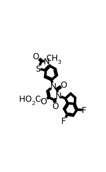 Cn1c(=O)sc2cc(-n3cc(OC(=O)O)c(=O)n(C4CCc5c(F)cc(F)cc54)c3=O)ccc21